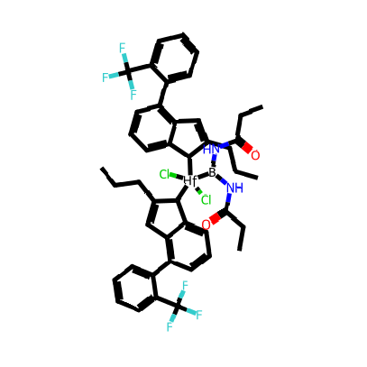 CCCC1=Cc2c(-c3ccccc3C(F)(F)F)cccc2[CH]1[Hf]([Cl])([Cl])([B](NC(=O)CC)NC(=O)CC)[CH]1C(CCC)=Cc2c(-c3ccccc3C(F)(F)F)cccc21